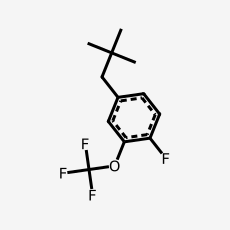 CC(C)(C)Cc1ccc(F)c(OC(F)(F)F)c1